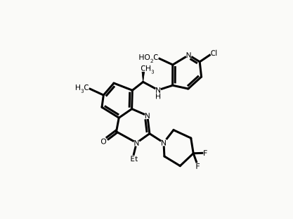 CCn1c(N2CCC(F)(F)CC2)nc2c([C@@H](C)Nc3ccc(Cl)nc3C(=O)O)cc(C)cc2c1=O